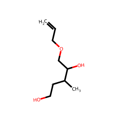 C=CCOCC(O)C(C)[CH]CO